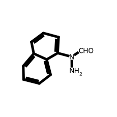 NN(C=O)c1cccc2ccccc12